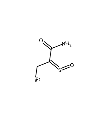 CC(C)CC(=S=O)C(N)=O